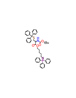 CC(C)(C)OC(=O)N[C@H](CSC(c1ccccc1)(c1ccccc1)c1ccccc1)C(=O)OCCCCCC[PH](c1ccccc1)(c1ccccc1)c1ccccc1